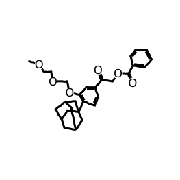 COCCOCOc1cc(C(=O)COC(=O)c2ccccc2)ccc1C12CC3CC(CC(C3)C1)C2